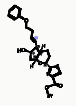 CC(C)OC(=O)c1csc([C@H]2CC[C@@H]3[C@@H](/C=C/CCOc4ccccc4)[C@H](O)C[C@@H]3O2)n1